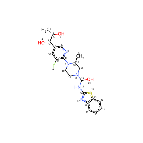 C[C@H](O)[C@@H](O)c1cnc(N2CCN(C(O)Nc3nc4ccccc4s3)C[C@@H]2C)c(F)c1